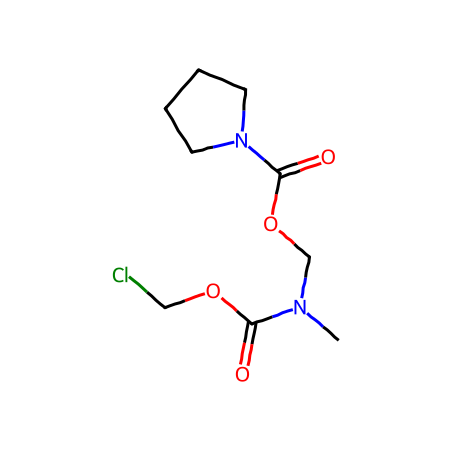 CN(COC(=O)N1CCCC1)C(=O)OCCl